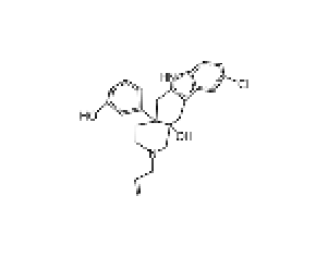 C=CCN1CCC2(c3cccc(O)c3)Cc3[nH]c4ccc(Cl)cc4c3CC2(O)C1